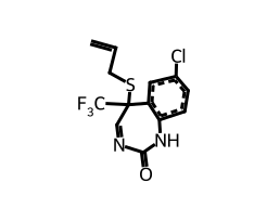 C=CCSC1(C(F)(F)F)C=NC(=O)Nc2ccc(Cl)cc21